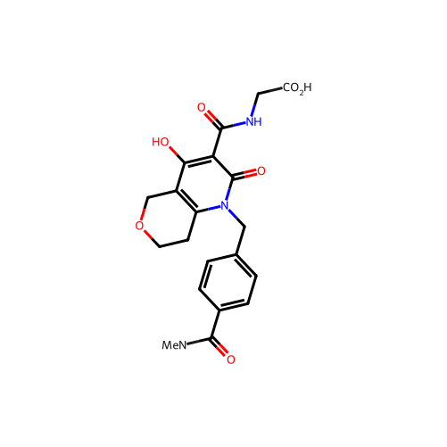 CNC(=O)c1ccc(Cn2c3c(c(O)c(C(=O)NCC(=O)O)c2=O)COCC3)cc1